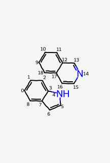 c1ccc2[nH]ccc2c1.c1ccc2cnccc2c1